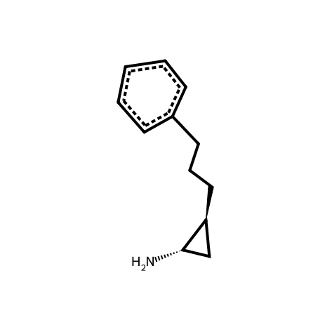 N[C@H]1C[C@@H]1CCCc1ccccc1